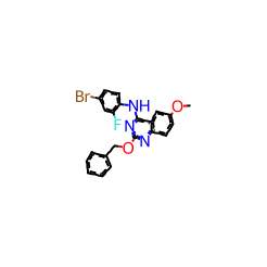 COc1ccc2nc(OCc3ccccc3)nc(Nc3ccc(Br)cc3F)c2c1